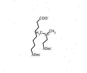 CCCCCCCCCCCCCCCCCC(=O)[O-].CCCCCCCCCCC[CH2][Sn+]([CH3])[CH3]